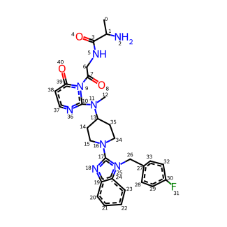 CC(N)C(=O)NCC(=O)n1c(N(C)C2CCN(c3nc4ccccc4n3Cc3ccc(F)cc3)CC2)nccc1=O